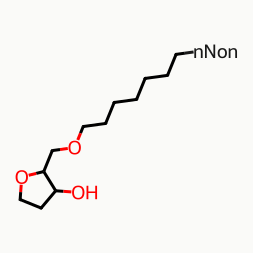 CCCCCCCCCCCCCCCCOCC1OCCC1O